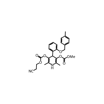 COC(=O)OC1=C(C)NC(C)=C(OC(=O)OCCC#N)C1c1ccccc1OCc1ccc(C)cc1